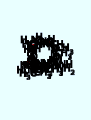 CC[C@H](C)[C@@H]1NC(=O)[C@@H](CCCNC(=N)N)NC(=O)[C@H](CC(C)C)NC(=O)[C@H]([C@H](O)C(C)C)NC(=O)[C@@H](NC(=O)[C@H](CC2CC2)NC(=O)[C@H](N)CC(C)C)[C@@H](c2ccccc2)OC(=O)[C@H](CO)NC(=O)[C@H]([C@H](O)C(N)=O)NC(=O)CNC(=O)[C@H]([C@H](C)O)NC1=O